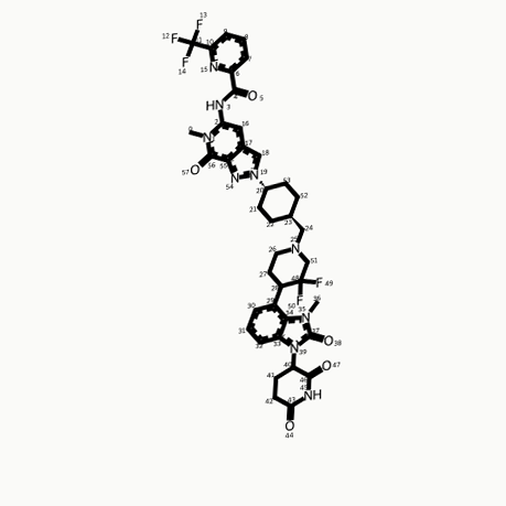 Cn1c(NC(=O)c2cccc(C(F)(F)F)n2)cc2cn([C@H]3CC[C@H](CN4CCC(c5cccc6c5n(C)c(=O)n6C5CCC(=O)NC5=O)C(F)(F)C4)CC3)nc2c1=O